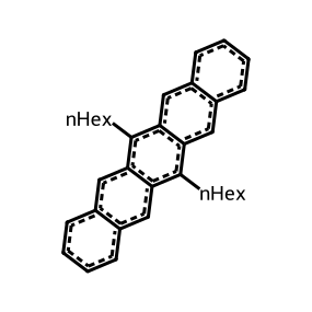 CCCCCCc1c2cc3ccccc3cc2c(CCCCCC)c2cc3ccccc3cc12